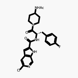 CC(=O)NC1CCN(C(=O)[C@H](Cc2ccc(F)cc2)NC(=O)c2cc3cc(Cl)ncc3[nH]2)CC1